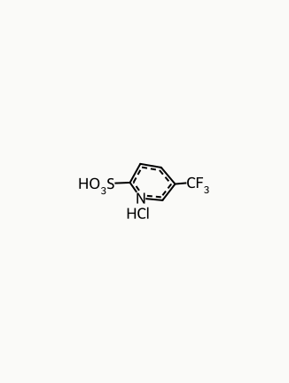 Cl.O=S(=O)(O)c1ccc(C(F)(F)F)cn1